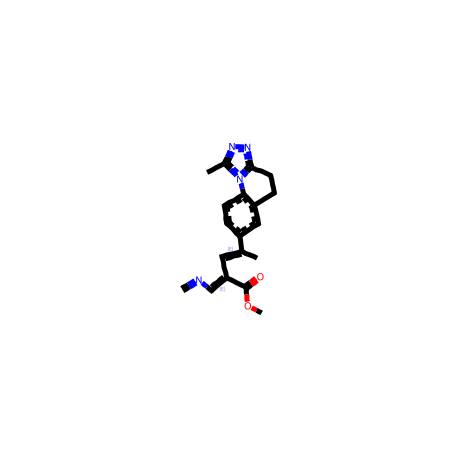 C=N/C=C(\C=C(/C)c1ccc2c(c1)CCc1nnc(C)n1-2)C(=O)OC